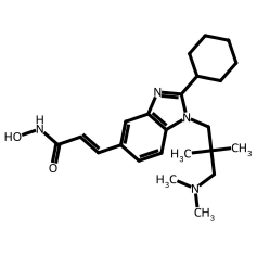 CN(C)CC(C)(C)Cn1c(C2CCCCC2)nc2cc(C=CC(=O)NO)ccc21